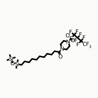 C[Si](C)(C)O[Si](C)(C)CCCCCCCCCCC(=O)N1CCN(S(=O)(=O)C(F)(F)C(F)(F)C(F)(F)C(F)(F)F)CC1